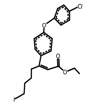 CCOC(=O)/C=C(/CCCCI)c1ccc(Oc2ccc(Cl)cc2)cc1